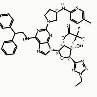 CCn1nnc([C@H]2O[C@@H](n3cnc4c(NCC(c5ccccc5)c5ccccc5)nc(N5CC[C@@H](Nc6ccc(C)cn6)C5)nc43)[C@H](OC(=O)C(F)(F)F)[C@@H]2O)n1